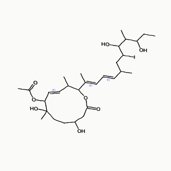 CCC(O)C(C)C(O)C(I)CC(C)/C=C/C=C(\C)C1OC(=O)CC(O)CCC(C)(O)C(OC(C)=O)/C=C/C1C